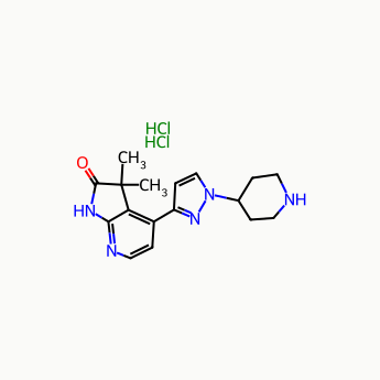 CC1(C)C(=O)Nc2nccc(-c3ccn(C4CCNCC4)n3)c21.Cl.Cl